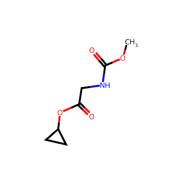 COC(=O)NCC(=O)OC1CC1